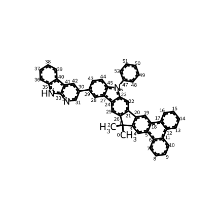 CC1(C)c2cc3c4ccccc4c4ccccc4c3cc2-c2cc3c(cc21)c1cc(-c2cnc4[nH]c5ccccc5c4c2)ccc1n3-c1ccccc1